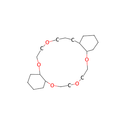 C1CCC2OCCOCCOC3CCCCC3OCCOCCCC2C1